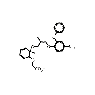 CC(COc1ccc(C(F)(F)F)cc1Oc1ccccc1)COC1(C)C=CC=CC1OCC(=O)O